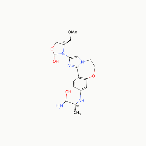 COC[C@@H]1COC(O)N1c1cn2c(n1)-c1ccc(N[C@@H](C)C(N)O)cc1OCC2